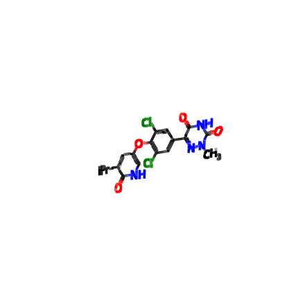 CC(C)c1cc(Oc2c(Cl)cc(-c3nn(C)c(=O)[nH]c3=O)cc2Cl)c[nH]c1=O